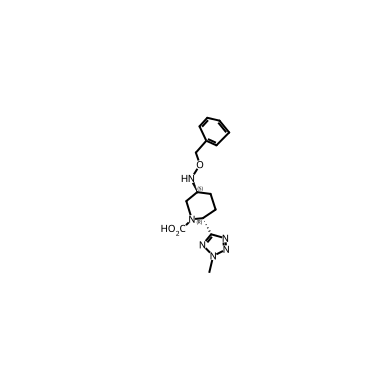 Cn1nnc([C@H]2CC[C@H](NOCc3ccccc3)CN2C(=O)O)n1